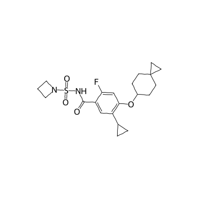 O=C(NS(=O)(=O)N1CCC1)c1cc(C2CC2)c(OC2CCC3(CC2)CC3)cc1F